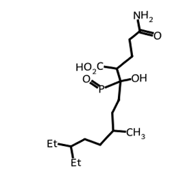 CCC(CC)CCC(C)CCC(O)(P=O)C(CCC(N)=O)C(=O)O